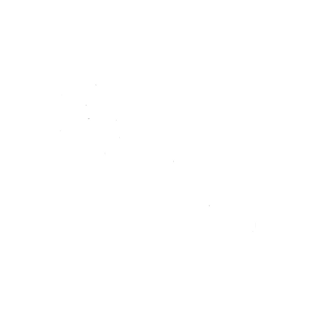 O=C(O)COCCOCCC(=O)OC12CC3CC(CC(C3)C1)C2